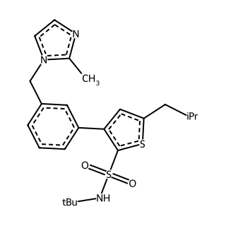 Cc1nccn1Cc1cccc(-c2cc(CC(C)C)sc2S(=O)(=O)NC(C)(C)C)c1